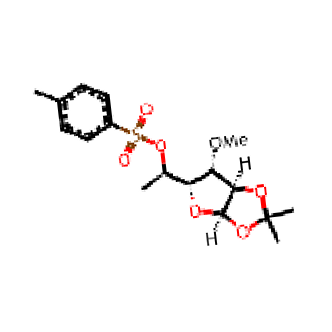 CO[C@@H]1[C@H]2OC(C)(C)O[C@H]2O[C@@H]1[C@@H](C)OS(=O)(=O)c1ccc(C)cc1